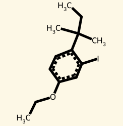 CCOc1ccc(C(C)(C)CC)c(I)c1